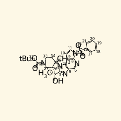 C[C@@H](O)c1nc2cnc3c(ccn3S(=O)(=O)c3ccccc3)c2n1C1(C)CCN(C(=O)OC(C)(C)C)CC1